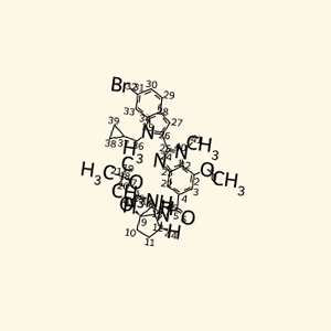 COc1cc(C(=O)N2C[C@H]3CC[C@@H]2[C@H]3NC(=O)OC(C)(C)C)cc2nc(-c3cc4ccc(Br)cc4n3CC3CC3)n(C)c12